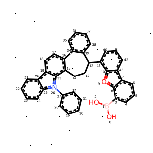 OB(O)c1cccc2c1oc1c(C3CCc4c(ccc5c6ccccc6n(-c6ccccc6)c45)-c4ccccc43)cccc12